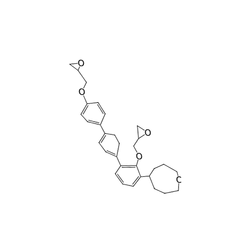 C1=C(c2ccc(OCC3CO3)cc2)CCC(c2cccc(C3CCCCCCC3)c2OCC2CO2)=C1